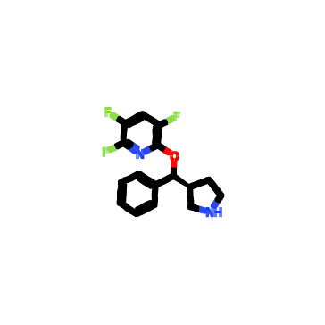 Fc1cc(F)c(OC(c2ccccc2)[C@H]2CCNC2)nc1F